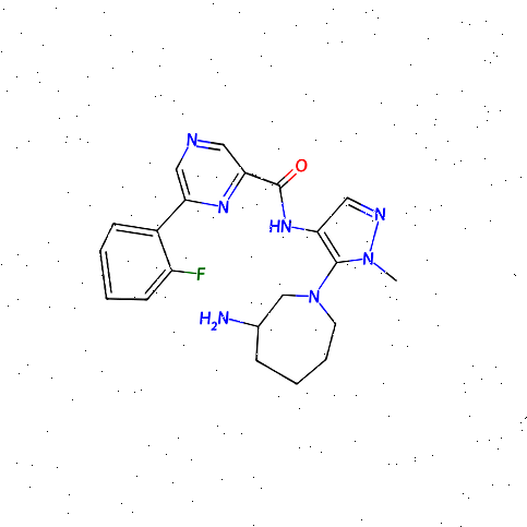 Cn1ncc(NC(=O)c2cncc(-c3ccccc3F)n2)c1N1CCCCC(N)C1